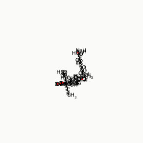 CC(=O)C(=O)OC(=O)CCC(=O)OC(=O)CCC(=O)O.CCC(=O)OS(=O)(=O)O.CCCCCCCCCCCCOS(=O)(=O)O.Cc1ccccc1C.O=S(=O)(O)c1cccc2ccccc12.[NaH].[NaH].[NaH].[NaH].[NaH].[NaH].[NaH].[NaH]